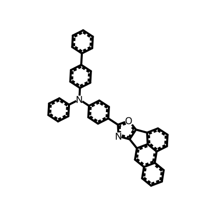 c1ccc(-c2ccc(N(c3ccccc3)c3ccc(-c4nc5c(o4)-c4cccc6c4c-5cc4ccccc46)cc3)cc2)cc1